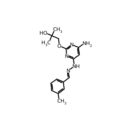 Cc1cccc(/C=N/Nc2cc(N)nc(OCC(C)(C)O)n2)c1